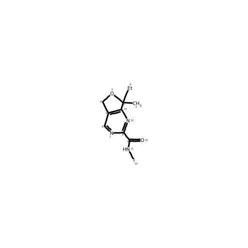 CCC1(C)OCc2cnc(C(=O)NI)nc21